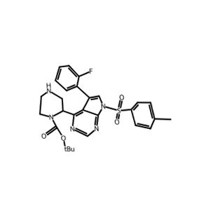 Cc1ccc(S(=O)(=O)n2cc(-c3ccccc3F)c3c(C4CNCCN4C(=O)OC(C)(C)C)ncnc32)cc1